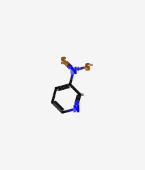 S=[N+]([S-])c1[c]nccc1